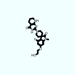 CN1C(=O)C2(CCN(c3nc4c(c(=O)[nH]3)CCCN4)CC2)c2c(F)cc(OCCO)cc21